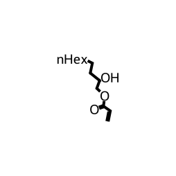 C=CC(=O)OCC(O)CCCCCCCC